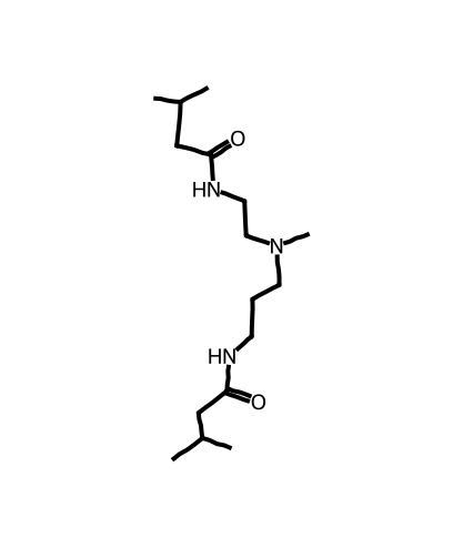 CC(C)CC(=O)NCCCN(C)CCNC(=O)CC(C)C